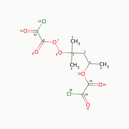 CC(CC(C)(C)OOC(=O)C(=O)Cl)OC(=O)C(=O)Cl